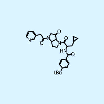 CC(C)(C)c1ccc(C(=O)NC(CC2CC2)C(=O)N2CCC3C2C(=O)CN3C(=O)Cc2cccnc2)cc1